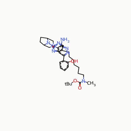 CN(CCCCCCCc1cnc(N2C3CCC2CN(c2cc(-c4ccccc4O)nnc2N)C3)nc1)C(=O)OC(C)(C)C